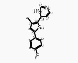 Cc1cc(-c2ccc(F)cc2)sc1C1C=CN=CN1